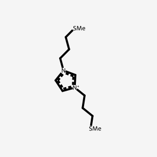 CSCCCn1cc[n+](CCCSC)c1